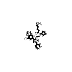 C/C=C/CCC(=O)N(CCn1nc(-c2ccncc2)nc1-c1ccc(OC)c(Cl)c1)C1CCCC1